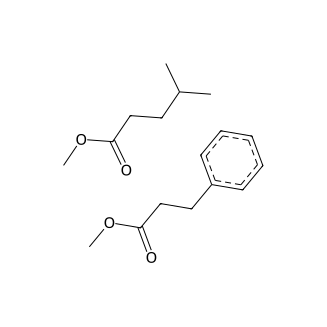 COC(=O)CCC(C)C.COC(=O)CCc1ccccc1